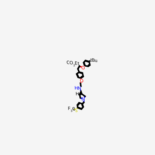 CCOC(=O)[C@H](Cc1ccc(OCCN[C@H]2C3CN(Cc4ccc(SC(F)(F)F)cc4)C[C@@H]32)cc1)Oc1ccc(C(C)(C)C)cc1